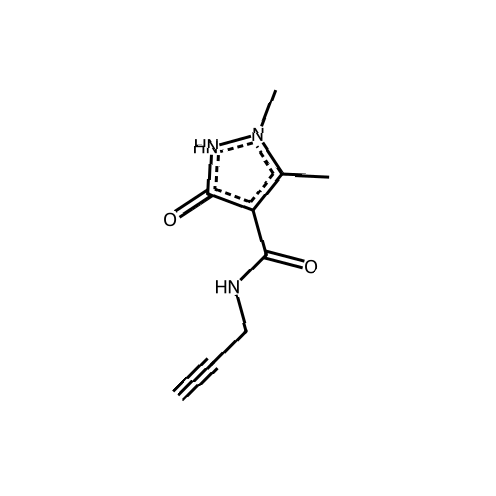 C#CCNC(=O)c1c(C)n(C)[nH]c1=O